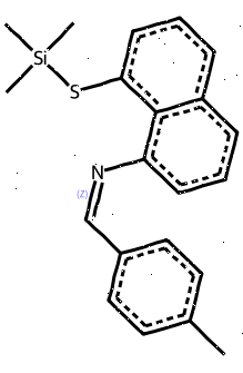 Cc1ccc(/C=N\c2cccc3cccc(S[Si](C)(C)C)c23)cc1